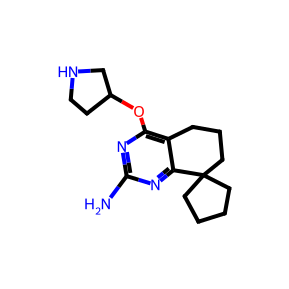 Nc1nc(OC2CCNC2)c2c(n1)C1(CCCC1)CCC2